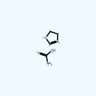 C1=NCCO1.NC(=O)O